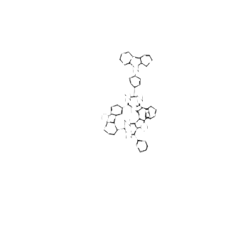 c1ccc(-c2nc(-c3ccc(-n4c5ccccc5c5ccccc54)cc3)nc(-c3ccc4oc5cccc(-c6nc(-c7ccccc7)c7oc8ccccc8c7n6)c5c4c3)n2)cc1